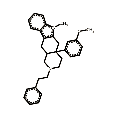 COc1cccc(C23CCN(CCc4ccccc4)CC2Cc2c(n(C)c4ccccc24)C3)c1